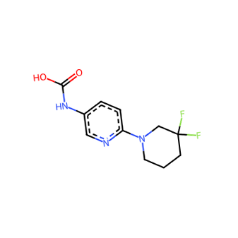 O=C(O)Nc1ccc(N2CCCC(F)(F)C2)nc1